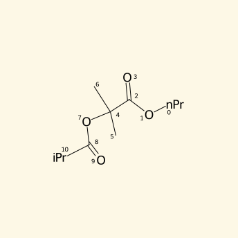 CCCOC(=O)C(C)(C)OC(=O)C(C)C